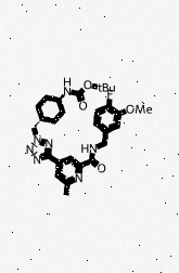 COc1cc(CNC(=O)c2cc(-c3nnn(C[C@H]4CC[C@H](NC(=O)OC(C)(C)C)CC4)n3)cc(C)n2)ccc1F